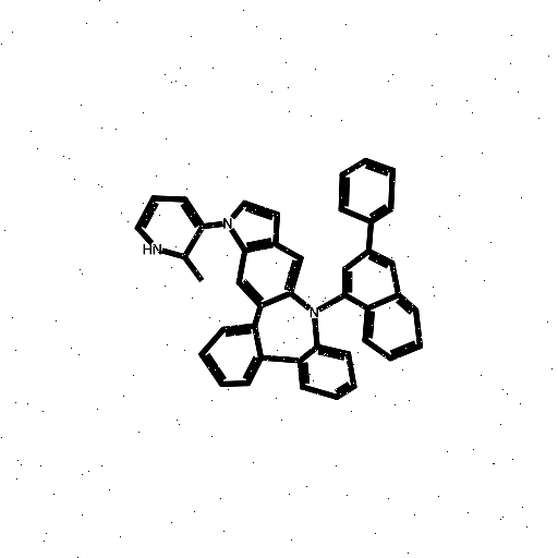 CC1NC=CC=C1n1ccc2cc3c(cc21)-c1ccccc1-c1ccccc1N3c1cc(-c2ccccc2)cc2ccccc12